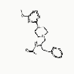 COc1ccnc(N2CCN(CC(Cc3ccccc3)NC(C)=O)CC2)n1